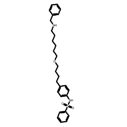 O=S(=O)(Nc1ccc(CCCCOCCCCCCNCc2ccccc2)cc1)c1ccccc1